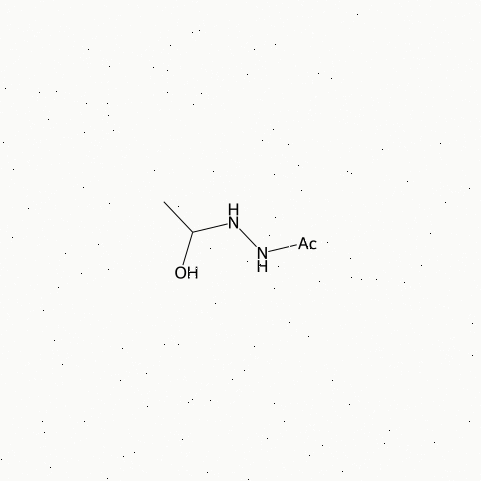 CC(=O)NNC(C)O